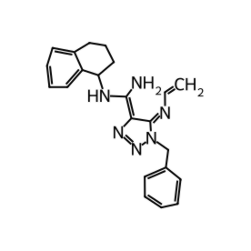 C=C/N=C1\C(=C(/N)NC2CCCc3ccccc32)N=NN1Cc1ccccc1